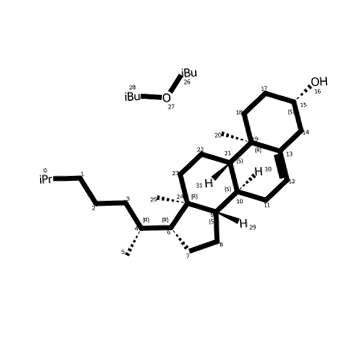 CC(C)CCC[C@@H](C)[C@H]1CC[C@H]2[C@@H]3CC=C4C[C@@H](O)CC[C@]4(C)[C@H]3CC[C@]12C.CCC(C)OC(C)CC